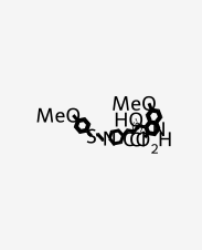 COc1ccc(SCCN2CCC(CC[C@H](O)c3c(Cl)cnc4ccc(OC)cc34)(C(=O)O)CC2)cc1